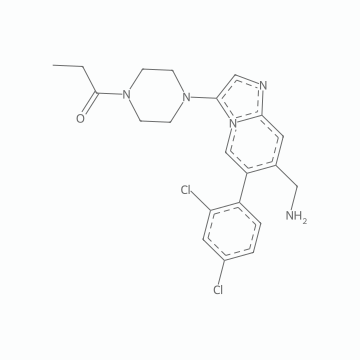 CCC(=O)N1CCN(c2cnc3cc(CN)c(-c4ccc(Cl)cc4Cl)cn23)CC1